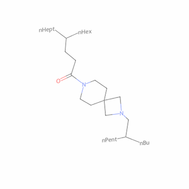 CCCCCCCC(CCCCCC)CCC(=O)N1CCC2(CC1)CN(CC(CCCC)CCCCC)C2